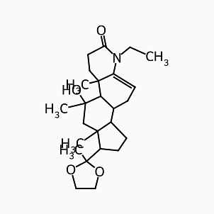 CCN1C(=O)CCC2(C)C1=CCC1C2C(C)(O)CC2(C)C1CCC2C1(C)OCCO1